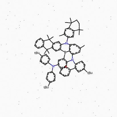 Cc1cc2c3c(c1)N(c1ccc(C(C)(C)C)cc1-c1ccccc1)c1ccc(N(c4ccc(C(C)(C)C)cc4)c4ccc(C(C)(C)C)cc4)cc1B3c1cc3c(cc1N2c1cc2c(cc1C)C(C)(C)CCC2(C)C)C(C)(C)c1ccccc1C3(C)C